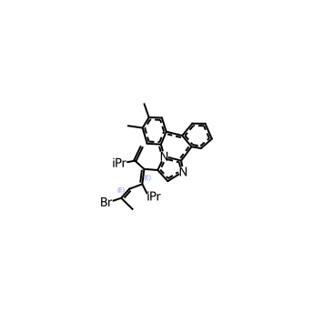 C=C(/C(=C(\C=C(/C)Br)C(C)C)c1cnc2c3ccccc3c3cc(C)c(C)cc3n12)C(C)C